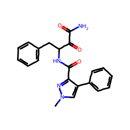 Cn1cc(-c2ccccc2)c(C(=O)NC(Cc2ccccc2)C(=O)C(N)=O)n1